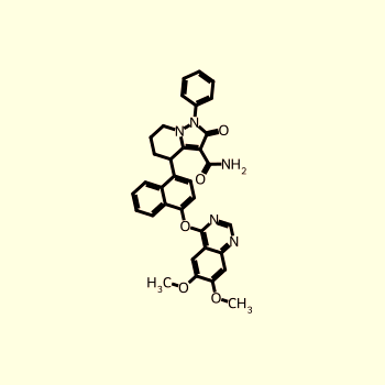 COc1cc2ncnc(Oc3ccc(C4CCCn5c4c(C(N)=O)c(=O)n5-c4ccccc4)c4ccccc34)c2cc1OC